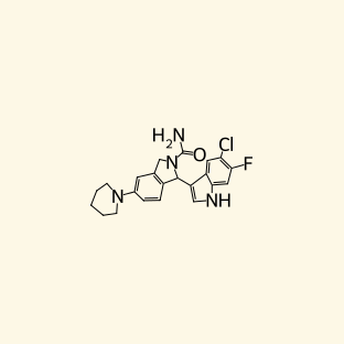 NC(=O)N1Cc2cc(N3CCCCC3)ccc2C1c1c[nH]c2cc(F)c(Cl)cc12